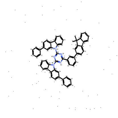 CC1(C)c2ccccc2-c2ccc(-c3cccc(-c4nc(-n5c6ccccc6c6ccc(-c7ccccc7)cc65)nc(-n5c6ccccc6c6ccc(-c7ccccc7)cc65)n4)c3)cc21